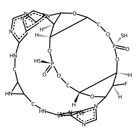 O=[P@]1(S)OCC2OC3[C@H](F)[C@@H]2O[P@](=O)(S)OC[C@H]2OC([C@H](F)[C@@H]2O1)n1cnc2c(ncnc21)NCC1NC1CNc1ncnc2c1ncn23